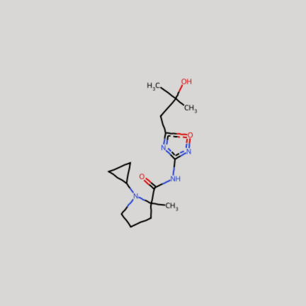 CC(C)(O)Cc1nc(NC(=O)C2(C)CCCN2C2CC2)no1